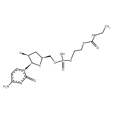 CCNC(=O)SCCOP(=O)(O)OC[C@@H]1C[C@H](F)[C@H](n2ccc(N)nc2=O)S1